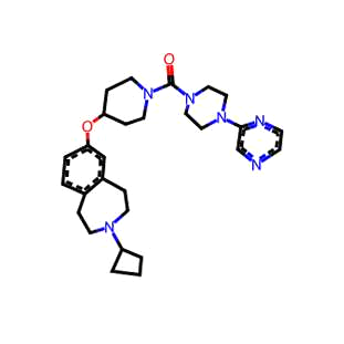 O=C(N1CCC(Oc2ccc3c(c2)CCN(C2CCC2)CC3)CC1)N1CCN(c2cnccn2)CC1